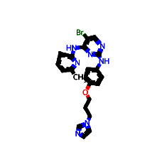 Cc1cccc(Nc2nc(Nc3ccc(OCCCn4ccnc4)cc3)ncc2Br)n1